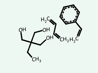 C=CC=C.C=Cc1ccccc1.CCC(CO)(CO)CO